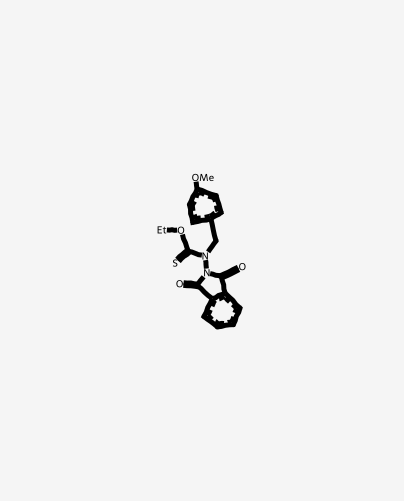 CCOC(=S)N(Cc1ccc(OC)cc1)N1C(=O)c2ccccc2C1=O